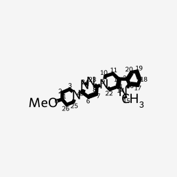 COC1CCN(c2ccc(N3CCc4c(n(C)c5ccccc45)C3)nn2)CC1